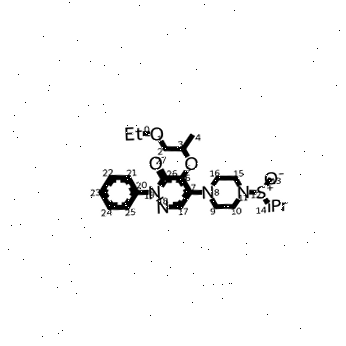 CCOCC(C)Oc1c(N2CCN([S+]([O-])C(C)C)CC2)cnn(-c2ccccc2)c1=O